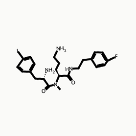 CN(C(=O)[C@@H](N)Cc1ccc(I)cc1)[C@@H](CCCN)C(=O)NCCc1ccc(F)cc1